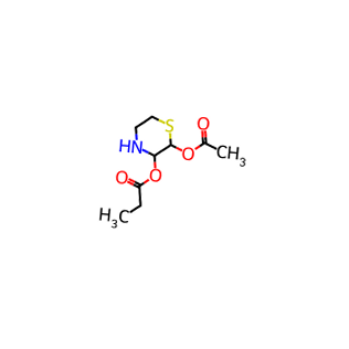 CCC(=O)OC1NCCSC1OC(C)=O